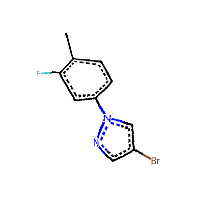 Cc1ccc(-n2cc(Br)cn2)cc1F